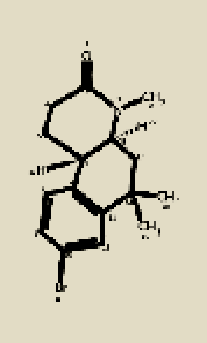 CN1C(=O)CC[C@H]2c3ccc(Br)cc3C(C)(C)C[C@@H]21